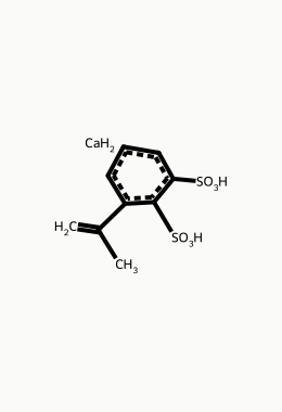 C=C(C)c1cccc(S(=O)(=O)O)c1S(=O)(=O)O.[CaH2]